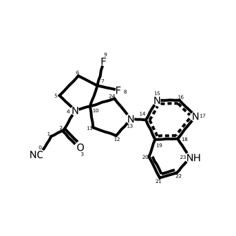 N#CCC(=O)N1CCC(F)(F)C12CCN(c1ncnc3c1C=C=CN3)C2